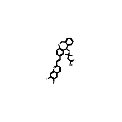 CC(C)(CC(=O)O)SC1c2ccccc2COc2ccc(/C=C/c3ccc4cc(F)c(F)cc4n3)cc21